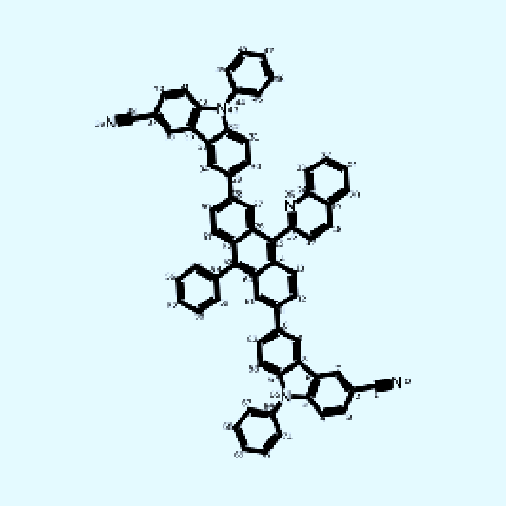 N#Cc1ccc2c(c1)c1cc(-c3ccc4c(-c5ccc6ccccc6n5)c5cc(-c6ccc7c(c6)c6cc(C#N)ccc6n7-c6ccccc6)ccc5c(-c5ccccc5)c4c3)ccc1n2-c1ccccc1